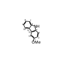 COc1c[c]c2[nH]c3ccccc3c2c1